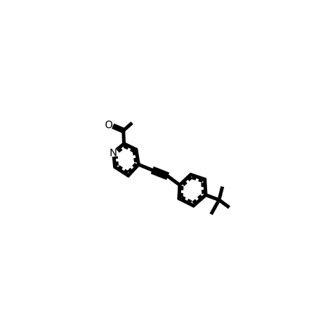 CC(=O)c1cc(C#Cc2ccc(C(C)(C)C)cc2)ccn1